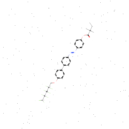 CCC(C)(C)C(=O)Oc1ccc(/N=N/c2ccc(-c3ccc(OCC(F)(F)C(F)(F)C(F)(F)C(F)F)cc3)cc2)cc1